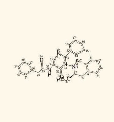 CC(=O)N([C@@H](Cc1ccccc1)C(=O)O)n1c(-c2ccccc2)ncc(NC(=O)Cc2ccccc2)c1=O